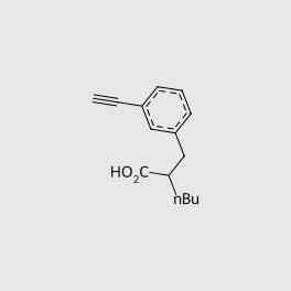 C#Cc1cccc(CC(CCCC)C(=O)O)c1